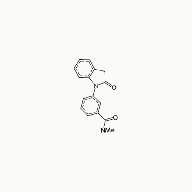 CNC(=O)c1cccc(N2C(=O)Cc3ccccc32)c1